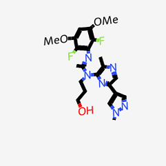 COc1cc(OC)c(F)c(/N=C(\C)N(CCCO)c2nc(-c3cnn(C)c3)cnc2C)c1F